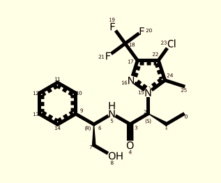 CC[C@@H](C(=O)N[C@@H](CO)c1ccccc1)n1nc(C(F)(F)F)c(Cl)c1C